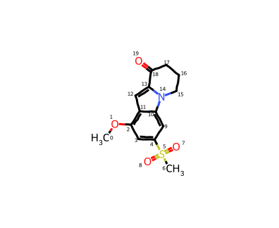 COc1cc(S(C)(=O)=O)cc2c1cc1n2CCCC1=O